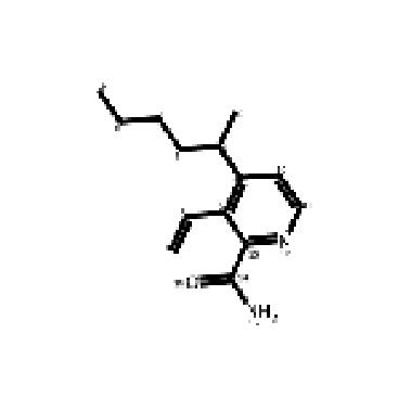 C=Cc1c(C(C)CCCC)ccnc1C(N)=O